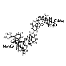 COC(=O)N[C@H](C(=O)N1[C@@H]2CC[C@@H](C2)[C@H]1c1nc2ccc3cc(-c4ccc5c(ccc6nc([C@@H]7C[C@H]8C[C@H]8N7C(=O)[C@H](NC(O)OC)c7cccc(C8CCCC8)c7)[nH]c65)c4)ccc3c2[nH]1)C(C)C